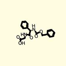 O=C(O)CNC(=O)[C@@H](NC(=O)OCc1ccccc1)c1ccccc1